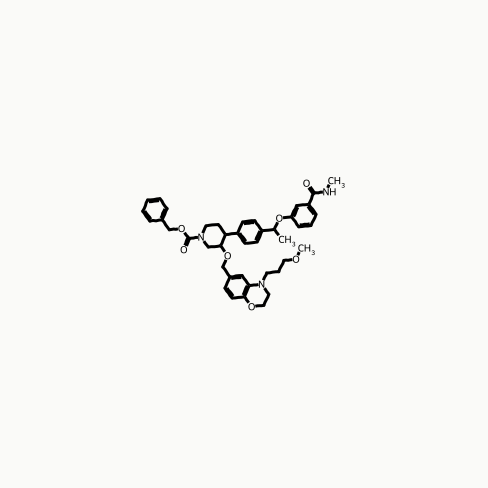 CNC(=O)c1cccc(OC(C)c2ccc(C3CCN(C(=O)OCc4ccccc4)CC3OCc3ccc4c(c3)N(CCCOC)CCO4)cc2)c1